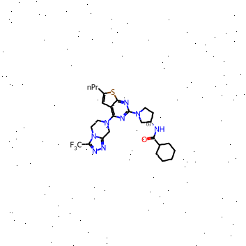 CCCc1cc2c(N3CCn4c(nnc4C(F)(F)F)C3)nc(N3CC[C@H](NC(=O)C4CCCCC4)C3)nc2s1